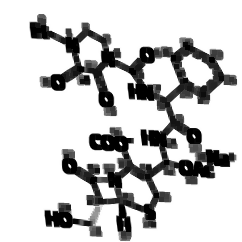 CCN1CCN(C(=O)NC(C(=O)NC(OC(C)=O)C2=C(C(=O)[O-])N3C(=O)[C@@H](CO)[C@H]3SC2)c2ccccc2)C(=O)C1=O.[Na+]